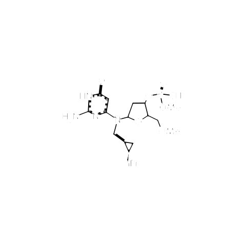 CCC[C@@H]1C/C1=C\N(c1cc(=O)[nH]c(N)n1)C1CC(OP(=O)(S)OC)C(COC)O1